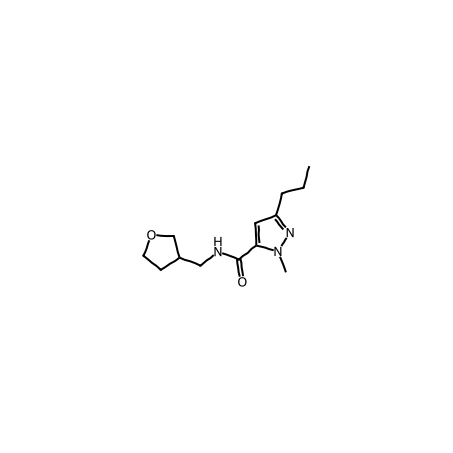 CCCc1cc(C(=O)NCC2CCOC2)n(C)n1